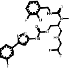 CN(C(=O)NCc1cccc(F)c1Cl)[C@@H](CNCC(F)F)COC(=O)Nc1cc(-c2cccc(F)c2)no1